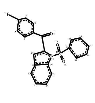 O=C(c1ccc(F)cc1)c1cc2ccccc2n1S(=O)(=O)c1ccccc1